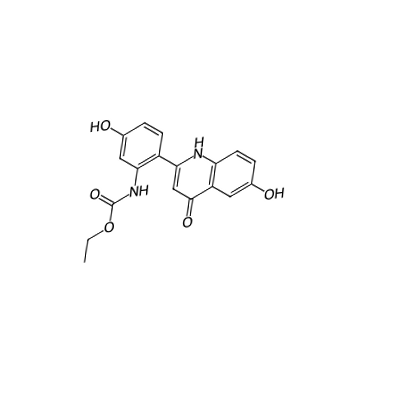 CCOC(=O)Nc1cc(O)ccc1-c1cc(=O)c2cc(O)ccc2[nH]1